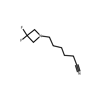 N#CCCCCCN1CC(F)(F)C1